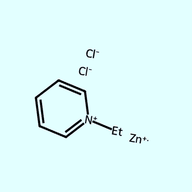 CC[n+]1ccccc1.[Cl-].[Cl-].[Zn+]